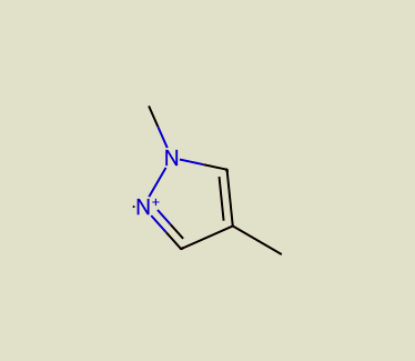 CC1=CN(C)[N+]=C1